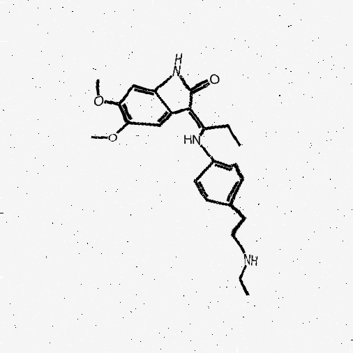 CCNCCc1ccc(NC(CC)=C2C(=O)Nc3cc(OC)c(OC)cc32)cc1